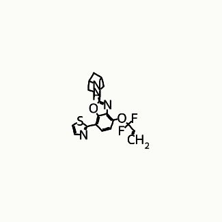 C=CC(F)(F)Oc1ccc(-c2nccs2)c2oc(N3CC4CC(C3)N4)nc12